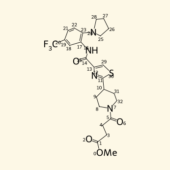 COC(=O)CCC(=O)N1CCC(c2nc(C(=O)Nc3cc(C(F)(F)F)ccc3N3CCCC3)cs2)CC1